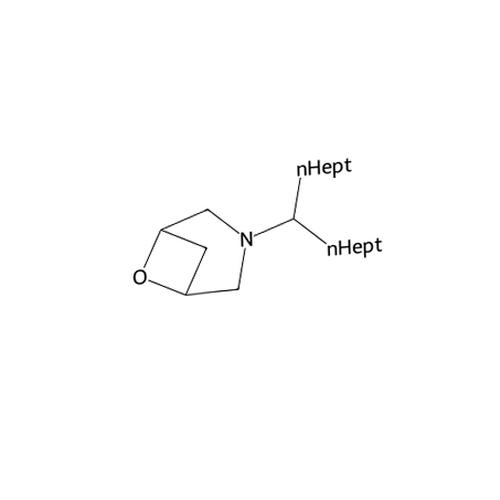 CCCCCCCC(CCCCCCC)N1CC2CC(C1)O2